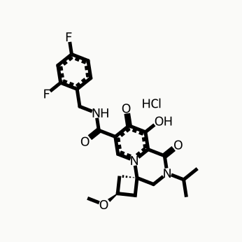 CO[C@H]1C[C@]2(CN(C(C)C)C(=O)c3c(O)c(=O)c(C(=O)NCc4ccc(F)cc4F)cn32)C1.Cl